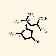 N[C@@H](CC(C(=O)O)C(=O)O)C(=O)O.O=C(O)[C@@H]1CC(O)CN1